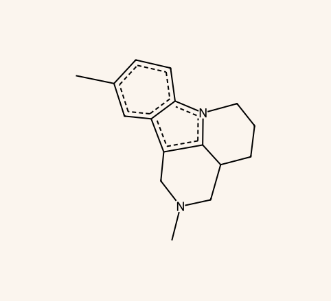 Cc1ccc2c(c1)c1c3n2CCCC3CN(C)C1